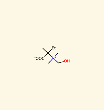 CCC(C)(C(=O)[O-])[N+](C)(C)CO